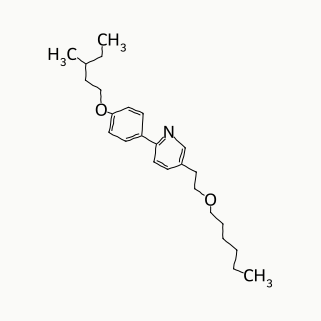 CCCCCCOCCc1ccc(-c2ccc(OCCC(C)CC)cc2)nc1